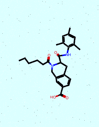 CCCCCC(=O)N1Cc2cc(C(=O)O)ccc2CC1C(=O)Nc1c(C)cc(C)cc1C